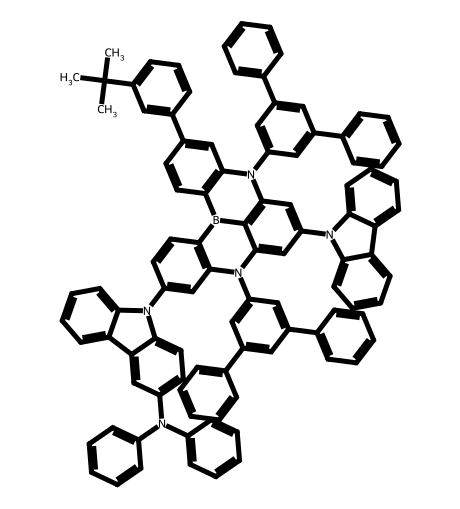 CC(C)(C)c1cccc(-c2ccc3c(c2)N(c2cc(-c4ccccc4)cc(-c4ccccc4)c2)c2cc(-n4c5ccccc5c5ccccc54)cc4c2B3c2ccc(-n3c5ccccc5c5cc(N(c6ccccc6)c6ccccc6)ccc53)cc2N4c2cc(-c3ccccc3)cc(-c3ccccc3)c2)c1